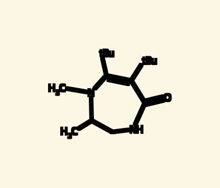 CC1CNC(=O)C(C(C)(C)C)=C(C(C)(C)C)N1C